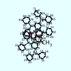 CC(c1ccccc1)c1cc(N(c2ccccc2)c2ccccc2)cc(C(c2ccccc2)c2ccccc2)c1N1C=CN(c2c(C(c3ccccc3)c3ccccc3)cc(N(c3ccccc3)c3ccccc3)cc2C(c2ccccc2)c2ccccc2)C1